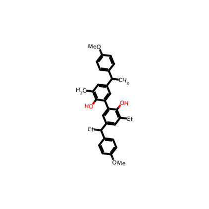 CCc1cc(C(CC)c2ccc(OC)cc2)cc(-c2cc(C(C)c3ccc(OC)cc3)cc(C)c2O)c1O